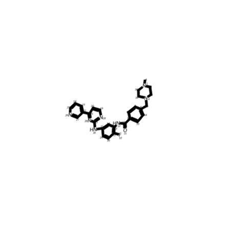 CN1CCN(Cc2ccc(C(=O)Nc3cc(Nc4nccc(-c5cccnc5)n4)ccc3F)cc2)CC1